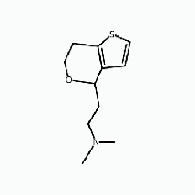 CN(C)CCC1OCCc2sccc21